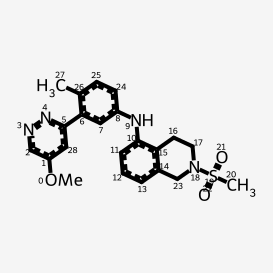 COc1cnnc(-c2cc(Nc3cccc4c3CCN(S(C)(=O)=O)C4)ccc2C)c1